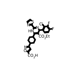 CCOC(=O)C1=C(C2CCC(c3cc(C(=O)O)on3)CC2)NC(c2nccs2)=NC1c1ccc(F)c(F)c1Cl